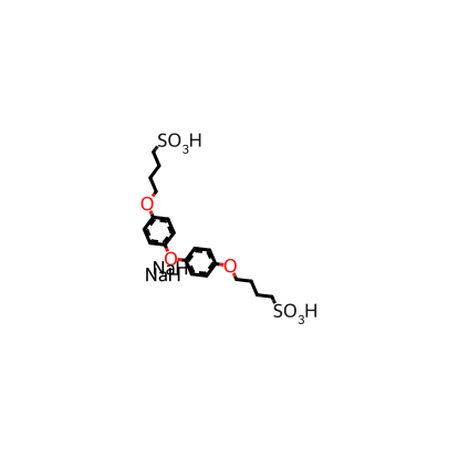 O=S(=O)(O)CCCCOc1ccc(Oc2ccc(OCCCCS(=O)(=O)O)cc2)cc1.[NaH].[NaH]